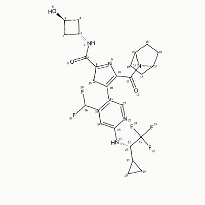 O=C(N[C@H]1C[C@H](O)C1)c1nc(C(=O)N2C3CCC2CC3)c(-c2cnc(N[C@@H](C3CC3)C(F)(F)F)cc2C(F)F)s1